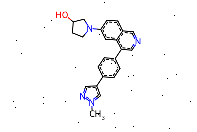 Cn1cc(-c2ccc(-c3cncc4ccc(N5CCC(O)C5)cc34)cc2)cn1